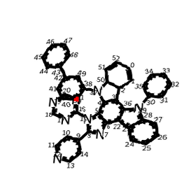 C1=CC2c3c(c4c(nc(-c5ccncc5)n4-c4ncncn4)c4c5ccccc5n(-c5ccccc5)c34)N(c3cccc(-c4ccccc4)c3)C2C=C1